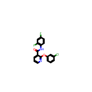 O=C(Nc1ccc(F)cc1F)c1cccnc1Oc1cccc(Cl)c1